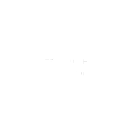 Br.Cl.[Cu].[Cu]